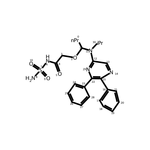 CCCC(OCC(=O)NS(N)(=O)=O)N(c1cnc(-c2ccccc2)c(-c2ccccc2)n1)C(C)C